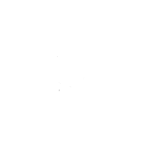 O=C(O)c1cc(C(=O)O)cc(-c2nc[nH]n2)c1.[Zn]